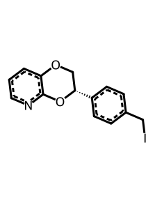 ICc1ccc([C@H]2COc3cccnc3O2)cc1